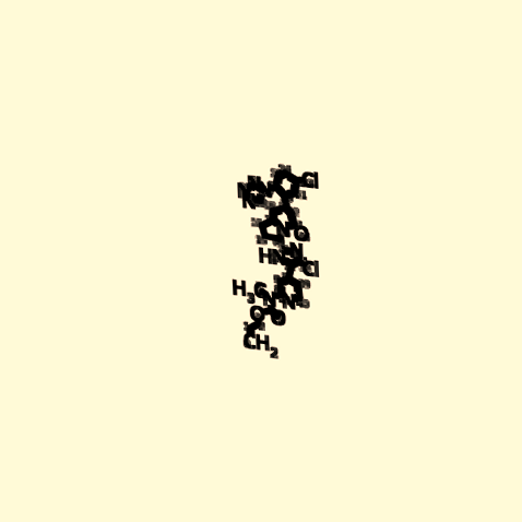 C=CCOC(=O)N(C)c1cc(-c2[nH]c([C@@H]3CCc4cc(-c5cc(Cl)ccc5-n5cnnn5)cc(=O)n43)nc2Cl)ccn1